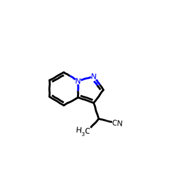 CC(C#N)c1cnn2ccccc12